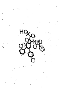 CC(C)(O)C(=O)c1oc2nc(-c3ccccc3Cl)c(-c3ccc(Cl)cc3)cc2c1NC(=O)C(=O)N1CCCC1